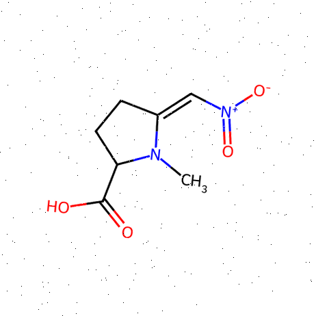 CN1C(=C[N+](=O)[O-])CCC1C(=O)O